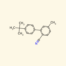 Cc1ccc(C#N)c(-c2ccc(C(C)(C)C)cc2)c1